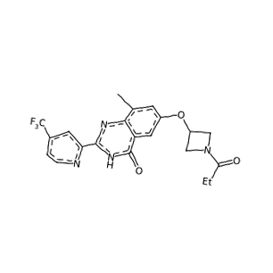 CCC(=O)N1CC(Oc2cc(C)c3nc(-c4cc(C(F)(F)F)ccn4)[nH]c(=O)c3c2)C1